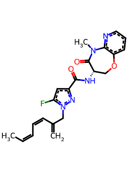 C=C(/C=C\C=C/C)Cn1nc(C(=O)N[C@H]2COc3cccnc3N(C)C2=O)cc1F